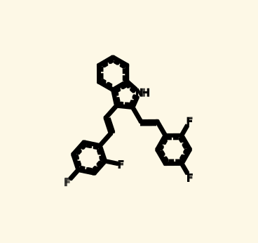 Fc1ccc(/C=C/c2[nH]c3ccccc3c2/C=C/c2ccc(F)cc2F)c(F)c1